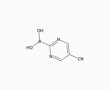 N#Cc1cnc(B(O)O)nc1